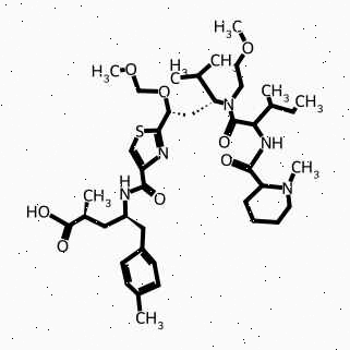 CCC(C)C(NC(=O)C1CCCCN1C)C(=O)N(CCOC)[C@H](C[C@@H](OCOC)c1nc(C(=O)N[C@@H](Cc2ccc(C)cc2)C[C@H](C)C(=O)O)cs1)C(C)C